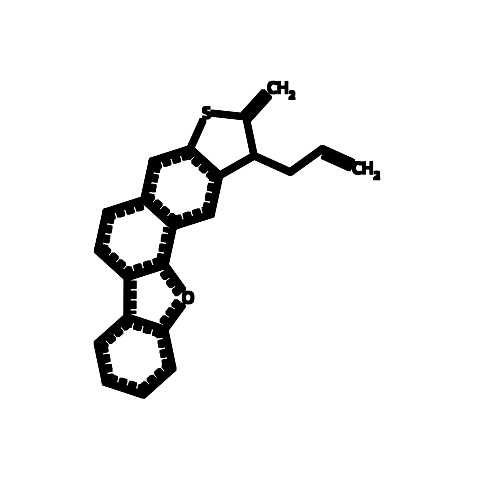 C=CCC1C(=C)Sc2cc3ccc4c5ccccc5oc4c3cc21